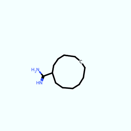 N=C(N)C1CCCCCCCCCCC1